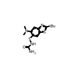 CN(C)c1cc2nc(C(C)(C)C)sc2cc1SNC(N)=O